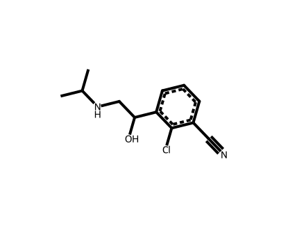 CC(C)NCC(O)c1cccc(C#N)c1Cl